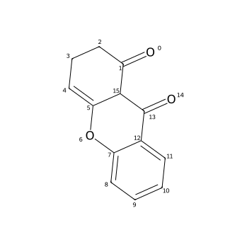 O=C1CCC=C2Oc3ccccc3C(=O)C12